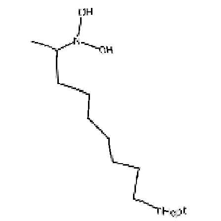 CCCCCCCCCCCCCCC(C)N(O)O